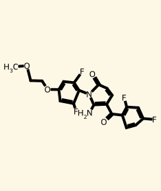 COCCOc1cc(F)c(-n2c(N)c(C(=O)c3ccc(F)cc3F)ccc2=O)c(F)c1